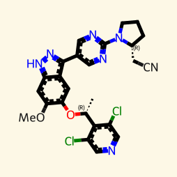 COc1cc2[nH]nc(-c3cnc(N4CCC[C@@H]4CC#N)nc3)c2cc1O[C@H](C)c1c(Cl)cncc1Cl